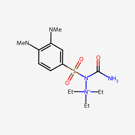 CC[N+](CC)(CC)N(C(N)=O)S(=O)(=O)c1ccc(NC)c(NC)c1